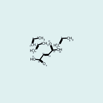 C=CC.C=CC.C=CC.O=C(O)/C=C/C(=O)O